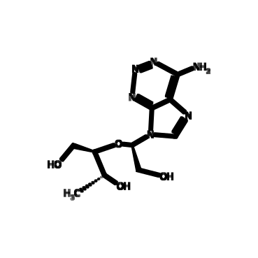 C[C@@H](O)[C@@H](CO)O[C@H](CO)n1cnc2c(N)nnnc21